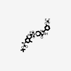 Cc1cc(N(C)C(=O)OC(C)(C)C)cc(C)c1CC(F)(F)S(=O)(=O)N1CCC2(CC1)N=C(c1cccc(OC(F)(F)F)c1)NC2=O